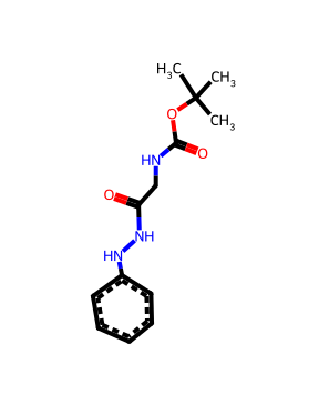 CC(C)(C)OC(=O)NCC(=O)NNc1ccccc1